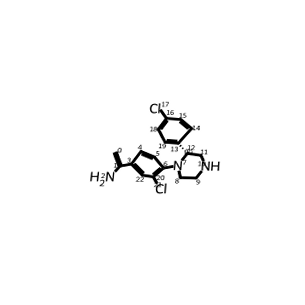 C=C(N)c1ccc(N2CCNC[C@H]2c2ccc(Cl)cc2)c(Cl)c1